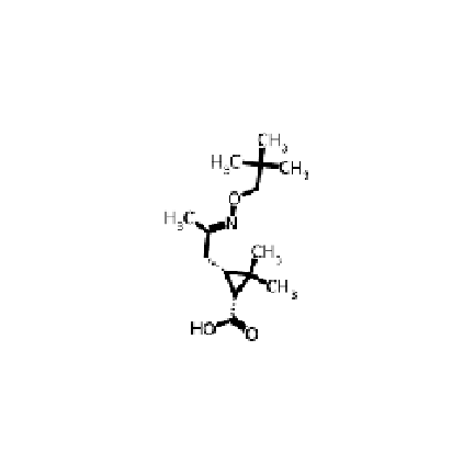 CC(C[C@H]1[C@@H](C(=O)O)C1(C)C)=NOCC(C)(C)C